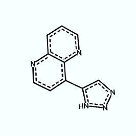 c1cnc2c(-c3cnn[nH]3)ccnc2c1